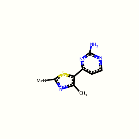 CNc1nc(C)c(-c2ccnc(N)n2)s1